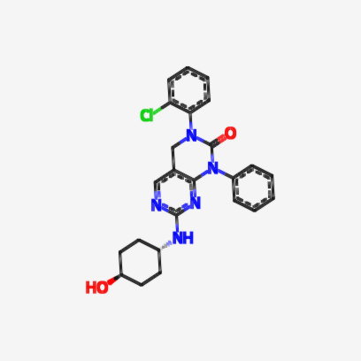 O=C1N(c2ccccc2Cl)Cc2cnc(N[C@H]3CC[C@H](O)CC3)nc2N1c1ccccc1